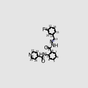 O=C(Nc1ccccc1C(=O)N/N=C/c1cccc(F)c1)c1ccncc1